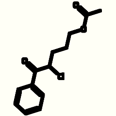 CC(=O)OCCCC(Cl)C(=O)c1ccccc1